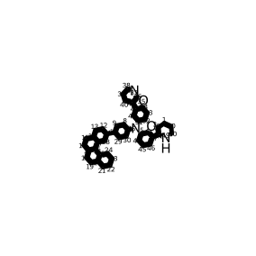 C1=Cc2oc3c(N(c4ccc(-c5ccc6ccc7ccc8ccccc8c7c6c5)cc4)c4ccc5oc6ncccc6c5c4)cccc3c2NC1